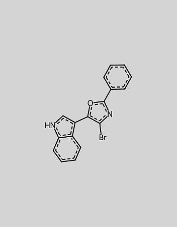 Brc1nc(-c2ccccc2)oc1-c1c[nH]c2ccccc12